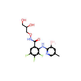 Bc1cc(C)cnc1Nc1c(C(=O)NOCC(O)CO)cc(F)c(F)c1F